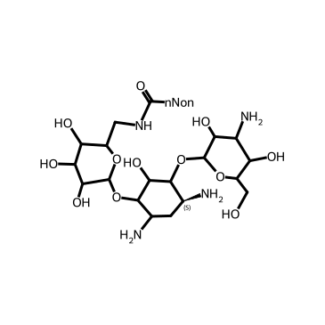 CCCCCCCCCC(=O)NCC1OC(OC2C(N)C[C@H](N)C(OC3OC(CO)C(O)C(N)C3O)C2O)C(O)C(O)C1O